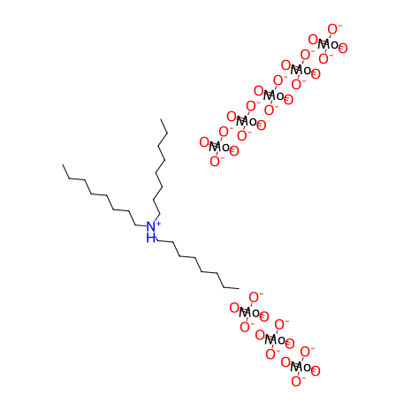 CCCCCCCC[NH+](CCCCCCCC)CCCCCCCC.[O]=[Mo](=[O])([O-])[O-].[O]=[Mo](=[O])([O-])[O-].[O]=[Mo](=[O])([O-])[O-].[O]=[Mo](=[O])([O-])[O-].[O]=[Mo](=[O])([O-])[O-].[O]=[Mo](=[O])([O-])[O-].[O]=[Mo](=[O])([O-])[O-].[O]=[Mo](=[O])([O-])[O-]